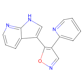 c1ccc(-c2cnoc2-c2c[nH]c3ncccc23)nc1